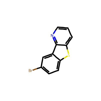 Brc1ccc2sc3cccnc3c2c1